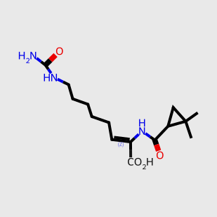 CC1(C)CC1C(=O)N/C(=C\CCCCCNC(N)=O)C(=O)O